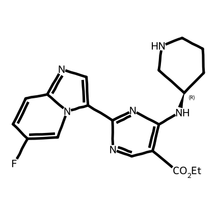 CCOC(=O)c1cnc(-c2cnc3ccc(F)cn23)nc1N[C@@H]1CCCNC1